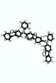 c1ccc(N(c2ccc3c(c2)oc2ccccc23)c2ccc3c(c2)oc2cc(N(c4ccccc4)c4ccc5c(c4)oc4ccccc45)nnc23)cc1